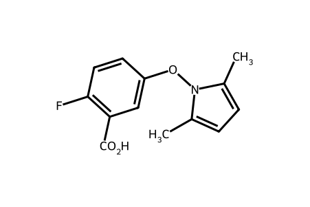 Cc1ccc(C)n1Oc1ccc(F)c(C(=O)O)c1